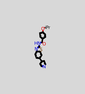 CC(C)Oc1ccc(C(=O)Nc2nc3ccc(-c4ccncc4)cc3s2)cc1